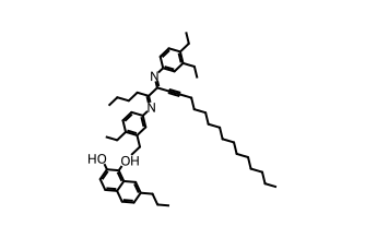 CCCCCCCCCCCCCC#CC(=Nc1ccc(CC)c(CC)c1)C(CCCC)=Nc1ccc(CC)c(CC)c1.CCCc1ccc2ccc(O)c(O)c2c1